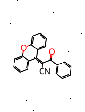 N#CC(C(=O)c1ccccc1)=C1c2ccccc2Oc2ccccc21